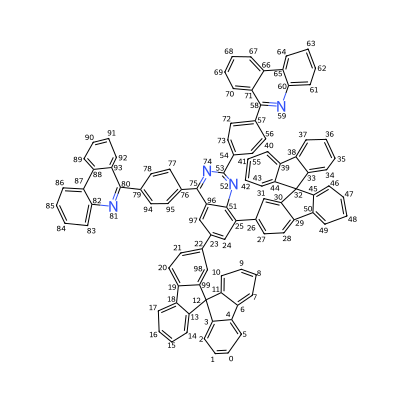 c1ccc2c(c1)-c1ccccc1C21c2ccccc2-c2ccc(-c3cc(-c4ccc5c(c4)C4(c6ccccc6-c6ccccc64)c4ccccc4-5)c4nc(-c5ccc(-c6nc7ccccc7c7ccccc67)cc5)nc(-c5ccc(-c6nc7ccccc7c7ccccc67)cc5)c4c3)cc21